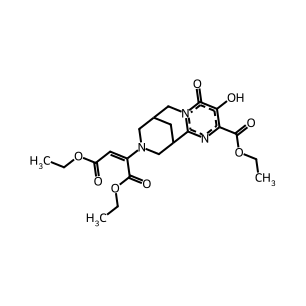 CCOC(=O)/C=C(\C(=O)OCC)N1CC2CC(C1)c1nc(C(=O)OCC)c(O)c(=O)n1C2